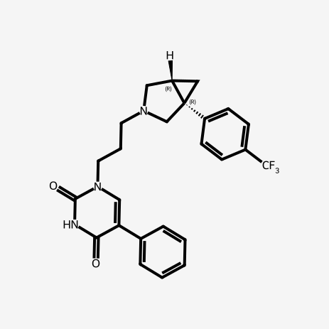 O=c1[nH]c(=O)n(CCCN2C[C@@H]3C[C@@]3(c3ccc(C(F)(F)F)cc3)C2)cc1-c1ccccc1